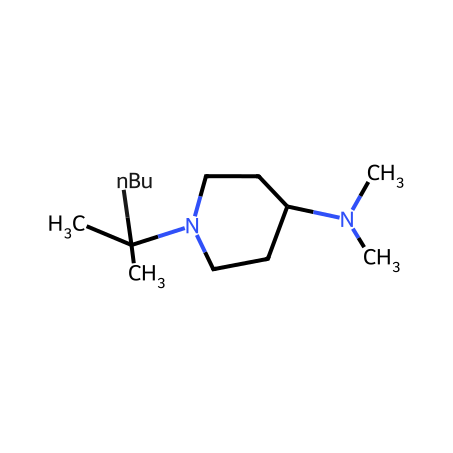 CCCCC(C)(C)N1CCC(N(C)C)CC1